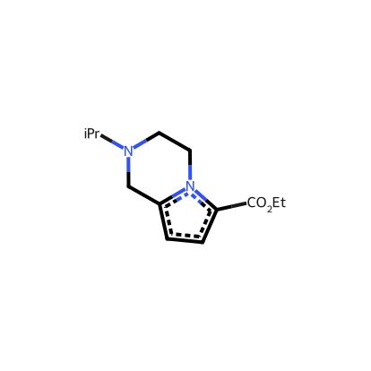 CCOC(=O)c1ccc2n1CCN(C(C)C)C2